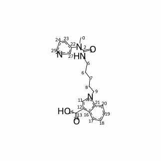 CN(C(=O)NCCCCCn1cc(C(=O)O)c2ccccc21)c1cccnc1